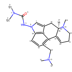 CCN(CC)C(=O)Nn1cc2c3c(c(CN(C)C)ccc31)C1=CCCN(C)[C@@H]1C2